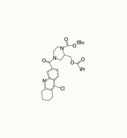 CC(C)C(=O)OCC1CN(C(=O)c2ccc3c(Cl)c4c(nc3c2)CCCC4)CCN1C(=O)OC(C)(C)C